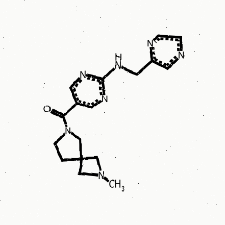 CN1CC2(CCN(C(=O)c3cnc(NCc4cnccn4)nc3)C2)C1